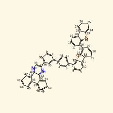 c1cc(-c2ccc(-c3cccc4c3sc3c(-c5cccc6c5sc5ccccc56)cccc34)cc2)cc(-c2cnc3c4ccccc4c4ccccc4c3n2)c1